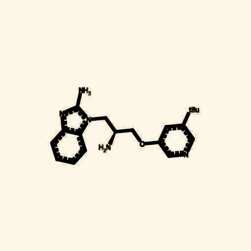 CC(C)(C)c1cncc(OC[C@@H](N)Cn2c(N)nc3ccccc32)c1